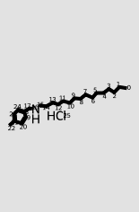 CCCCCCCCCCCCCCCCNCc1ccc(C)cc1.Cl